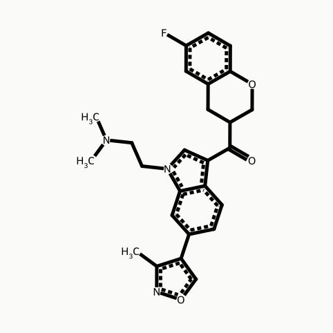 Cc1nocc1-c1ccc2c(C(=O)C3COc4ccc(F)cc4C3)cn(CCN(C)C)c2c1